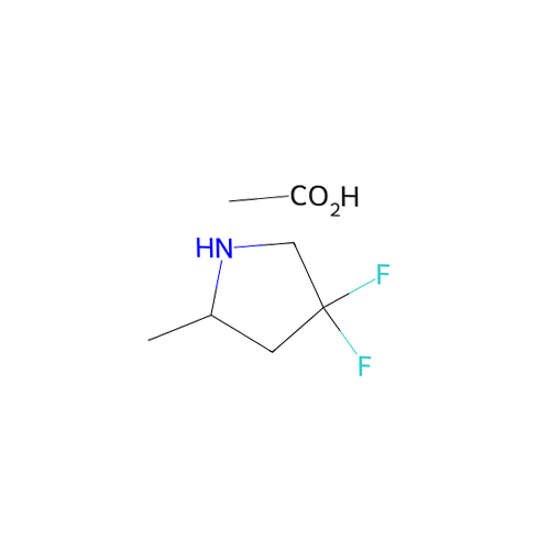 CC(=O)O.CC1CC(F)(F)CN1